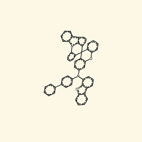 c1ccc(-c2ccc(N(c3ccc4c(c3)Oc3ccccc3C43c4ccccc4-n4c5ccccc5c5cccc3c54)c3cccc4c3oc3ccccc34)cc2)cc1